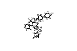 Cc1ccccc1-c1nc(NS(=O)(=O)c2cnn(C)c2)nc(Oc2ccc(N3CCN(C)CC3)cc2)c1C(C)(C)C